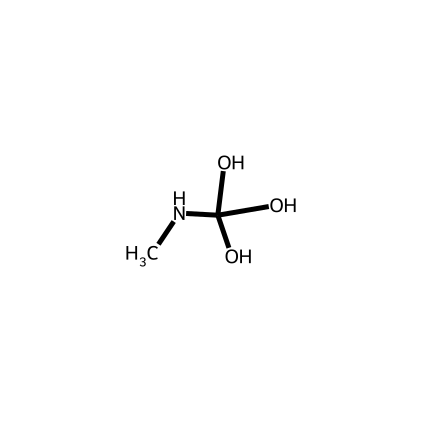 CNC(O)(O)O